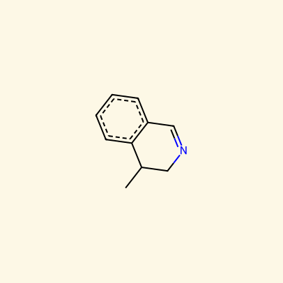 CC1CN=Cc2ccccc21